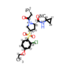 CC(C)CC(=O)N1C[C@H](S(=O)(=O)c2ccc(OCC(F)(F)F)cc2Cl)C[C@H]1C(=O)NC1(C#N)CC1